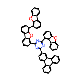 c1ccc2c(c1)oc1c(-c3cccc4c3oc3c(-c5nc(-c6ccc7c8ccccc8c8ccccc8c7c6)nc(-c6cccc7oc8ccccc8c67)n5)cccc34)cccc12